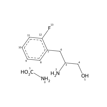 NC(=O)O.NC(CO)Cc1ccccc1F